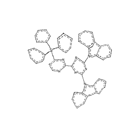 c1ccc([Si](c2ccccc2)(c2ccccc2)c2ccnc(-c3nc(-n4c5ccccc5c5ccccc54)nc(-n4c5ccccc5c5ccccc54)n3)n2)cc1